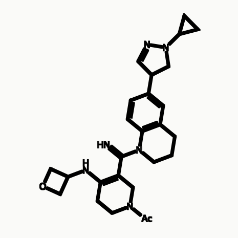 CC(=O)N1CCC(NC2COC2)=C(C(=N)N2CCCc3cc(C4C=NN(C5CC5)C4)ccc32)C1